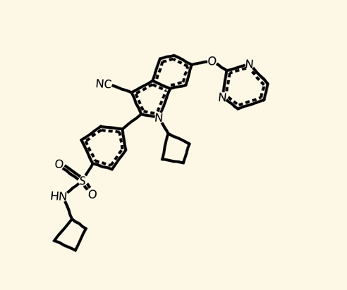 N#Cc1c(-c2ccc(S(=O)(=O)NC3CCC3)cc2)n(C2CCC2)c2cc(Oc3ncccn3)ccc12